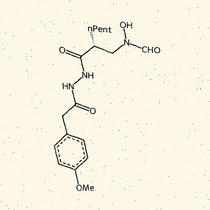 CCCCC[C@H](CN(O)C=O)C(=O)NNC(=O)Cc1ccc(OC)cc1